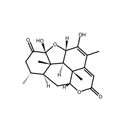 CC1=C(O)[C@H]2O[C@@]3(O)C(=O)C[C@@H](C)[C@@H]4C[C@H]5OC(=O)C=C1[C@@]5(C)[C@H]2[C@]43C